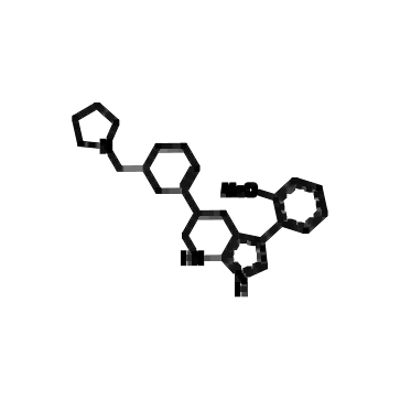 COc1ccccc1-c1c[nH]c2c1C=C(C1=CC=CC(CN3CCCC3)C1)CN2